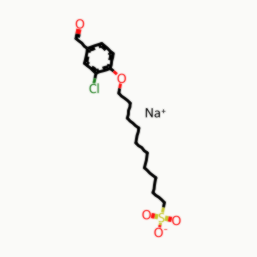 O=Cc1ccc(OCCCCCCCCCCS(=O)(=O)[O-])c(Cl)c1.[Na+]